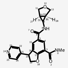 CNC(=O)c1cc(C(=O)NC2[C@H]3COC[C@@H]23)cc2c1OCC2c1ccncc1